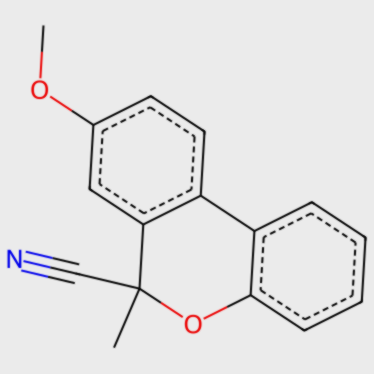 COc1ccc2c(c1)C(C)(C#N)Oc1ccccc1-2